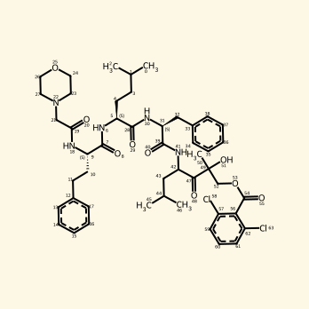 CC(C)CC[C@H](NC(=O)[C@H](CCc1ccccc1)NC(=O)CN1CCOCC1)C(=O)N[C@@H](Cc1ccccc1)C(=O)NC(CC(C)C)C(=O)C(C)(O)COC(=O)c1c(Cl)cccc1Cl